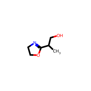 CC(CO)C1=NCCO1